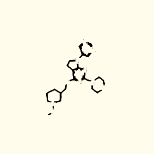 CON1CCCC(COc2nc(N3CCOCC3)nc3c2CCN3c2cncnc2)C1